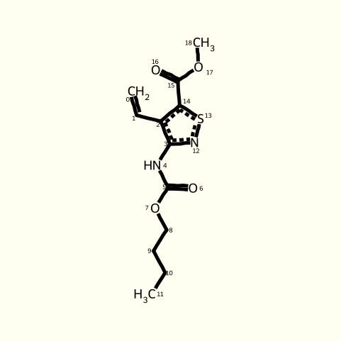 C=Cc1c(NC(=O)OCCCC)nsc1C(=O)OC